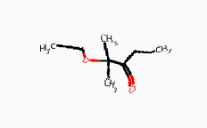 CCOC(C)(C)C(=O)CC